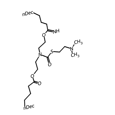 CCCCCCCCCCCCCC(=N)OCCN(CCOC(=O)CCCCCCCCCCCCC)C(=O)SCCN(C)C